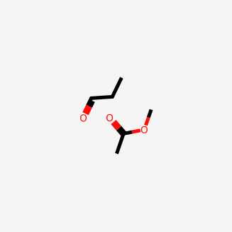 CCC=O.COC(C)=O